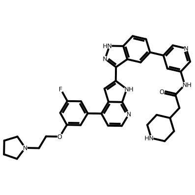 O=C(CC1CCNCC1)Nc1cncc(-c2ccc3[nH]nc(-c4cc5c(-c6cc(F)cc(OCCN7CCCC7)c6)ccnc5[nH]4)c3c2)c1